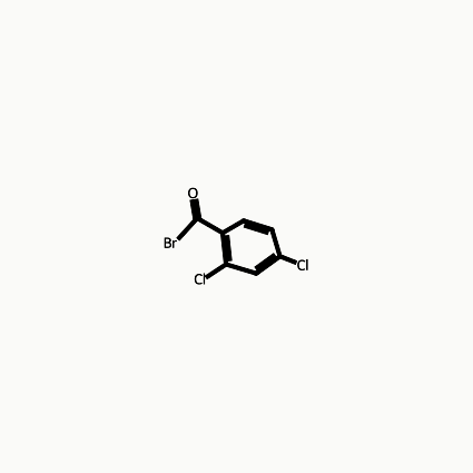 O=C(Br)c1ccc(Cl)cc1Cl